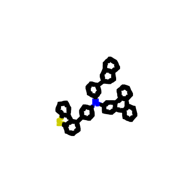 c1cc(-c2ccc3ccccc3c2)cc(N(c2ccc(-c3cccc4sc5ccccc5c34)cc2)c2ccc3c4ccccc4c4ccccc4c3c2)c1